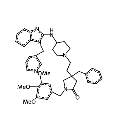 COc1cc(CN2CC(CCN3CCC(Nc4nc5ccccc5n4Cc4cccnc4)CC3)(Cc3ccccc3)CC2=O)cc(OC)c1OC